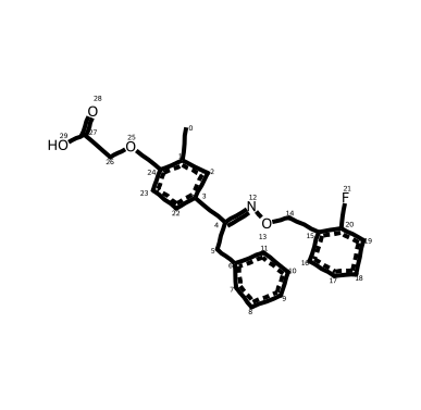 Cc1cc(C(Cc2ccccc2)=NOCc2ccccc2F)ccc1OCC(=O)O